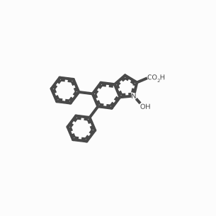 O=C(O)c1cc2cc(-c3ccccc3)c(-c3ccccc3)cc2n1O